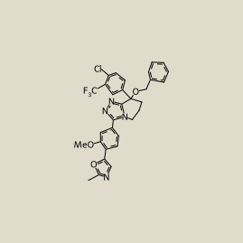 COc1cc(-c2nnc3n2CCCC3(OCc2ccccc2)c2ccc(Cl)c(C(F)(F)F)c2)ccc1-c1cnc(C)o1